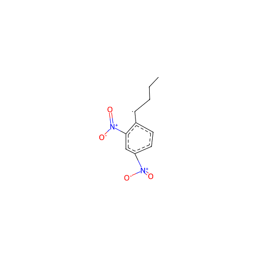 CCC[CH]c1ccc([N+](=O)[O-])cc1[N+](=O)[O-]